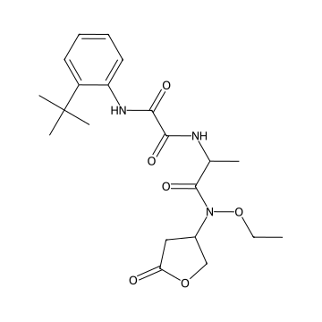 CCON(C(=O)C(C)NC(=O)C(=O)Nc1ccccc1C(C)(C)C)C1COC(=O)C1